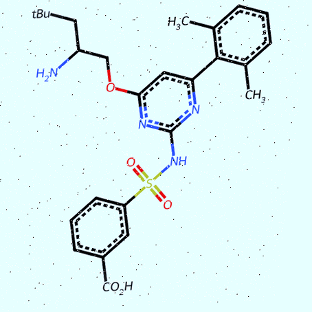 Cc1cccc(C)c1-c1cc(OCC(N)CC(C)(C)C)nc(NS(=O)(=O)c2cccc(C(=O)O)c2)n1